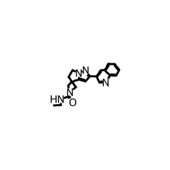 CCNC(=O)N1CC2(CCn3nc(-c4cnc5ccccc5c4)cc32)C1